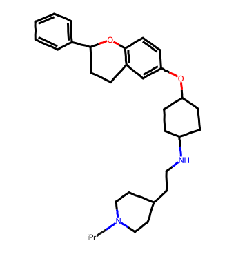 CC(C)N1CCC(CCNC2CCC(Oc3ccc4c(c3)CCC(c3ccccc3)O4)CC2)CC1